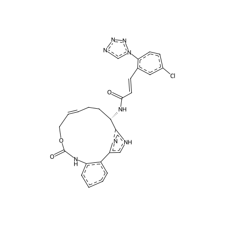 O=C(/C=C/c1cc(Cl)ccc1-n1cnnn1)N[C@H]1CC/C=C/COC(=O)Nc2ccccc2-c2c[nH]c1n2